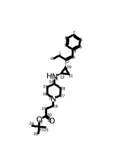 CC/C(=C\c1ccccc1)[C@@H]1C[C@H]1NC1CCN(CCC(=O)OC(C)(C)C)CC1